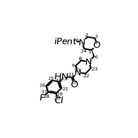 CCCC(C)N1CCO[C@@H](CN2CCN(C(=O)Nc3ccc(F)c(Cl)c3)CC2)C1